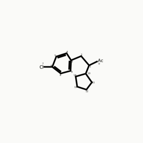 CC(=O)C(Cc1ccc(Cl)cc1)C1CCCC1